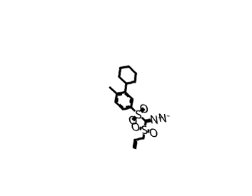 C=CCS(=O)(=O)C(=[N+]=[N-])S(=O)(=O)c1ccc(C)c(C2CCCCC2)c1